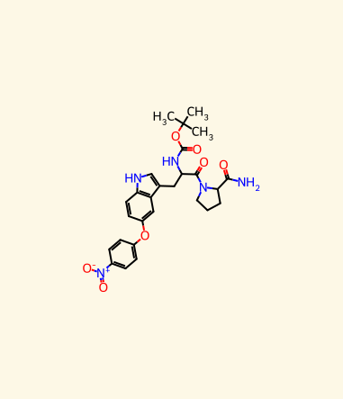 CC(C)(C)OC(=O)NC(Cc1c[nH]c2ccc(Oc3ccc([N+](=O)[O-])cc3)cc12)C(=O)N1CCCC1C(N)=O